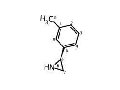 Cc1cccc([C@H]2CN2)c1